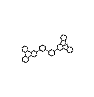 c1cc(-c2cccc(-c3cc4c5ccccc5n5c6ccccc6c(c3)c45)c2)cc(-c2ccc3c4ccccc4c4ccccc4c3c2)c1